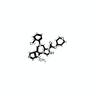 CS1=C2C(=CN(c3ccccc3Cl)CC3N2CNN3C(=O)OC2CCOCC2)C2=C1C=NC2